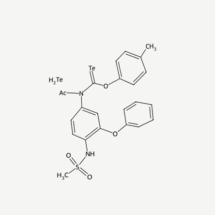 CC(=O)N(C(=[Te])Oc1ccc(C)cc1)c1ccc(NS(C)(=O)=O)c(Oc2ccccc2)c1.[TeH2]